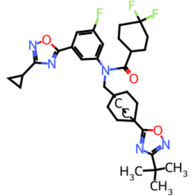 CC(C)(C)c1noc(C23CCC(CN(C(=O)C4CCC(F)(F)CC4)c4cc(F)cc(-c5nc(C6CC6)no5)c4)(CC2)CC3)n1